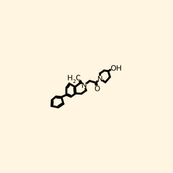 C=C1c2ccc(-c3ccccc3)cc2CCN1CC(=O)N1CCC(O)CC1